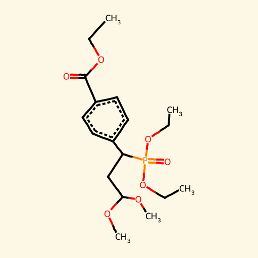 CCOC(=O)c1ccc(C(CC(OC)OC)P(=O)(OCC)OCC)cc1